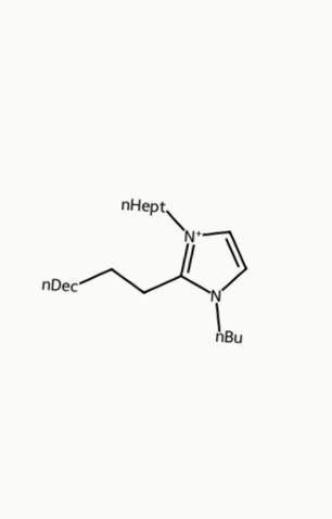 CCCCCCCCCCCCc1n(CCCC)cc[n+]1CCCCCCC